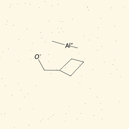 [CH3][Al+][CH3].[O-]CC1CCC1